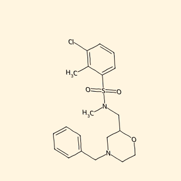 Cc1c(Cl)cccc1S(=O)(=O)N(C)CC1CN(Cc2ccccc2)CCO1